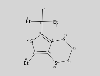 CCc1sc(C(C)(CC)CC)c2c1SCCS2